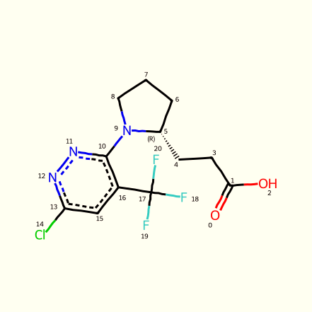 O=C(O)CC[C@H]1CCCN1c1nnc(Cl)cc1C(F)(F)F